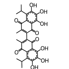 CC1=C(C2=C(C)C(=O)c3c(c(O)c(O)c(O)c3C(C)C)C2=O)C(=O)c2c(O)c(O)c(O)c(C(C)C)c2C1=O